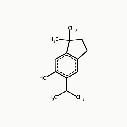 CC(C)c1cc2c(cc1O)C(C)(C)CC2